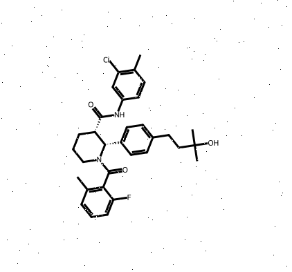 Cc1ccc(NC(=O)[C@H]2CCCN(C(=O)c3c(C)cccc3F)[C@H]2c2ccc(CCC(C)(C)O)cc2)cc1Cl